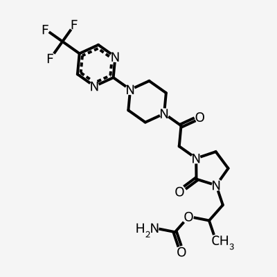 CC(CN1CCN(CC(=O)N2CCN(c3ncc(C(F)(F)F)cn3)CC2)C1=O)OC(N)=O